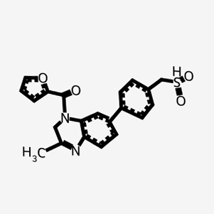 CC1=Nc2ccc(-c3ccc(C[SH](=O)=O)cc3)cc2N(C(=O)c2ccco2)C1